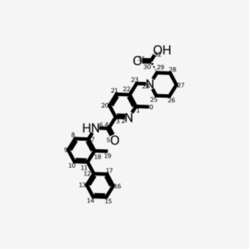 Cc1nc(C(=O)Nc2cccc(-c3ccccc3)c2C)ccc1CN1CCCC[C@H]1C(=O)O